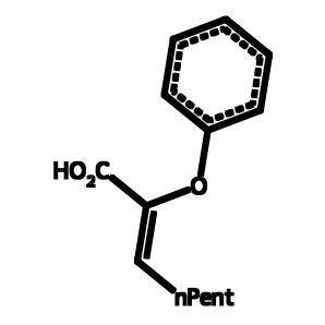 CCCCC/C=C(\Oc1ccccc1)C(=O)O